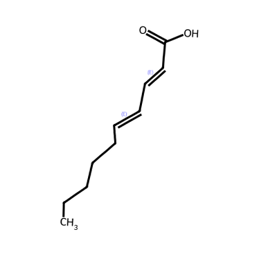 CCCCC/C=C/C=C/C(=O)O